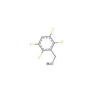 CC(C)COCc1c(F)c(F)cc(F)c1F